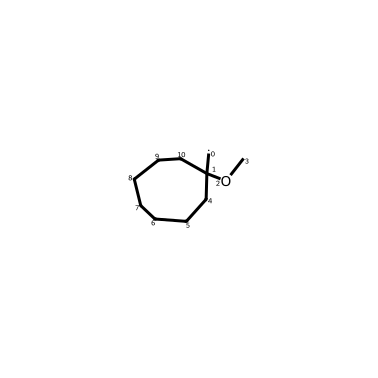 [CH2]C1(OC)CCCCCCC1